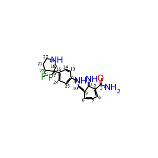 N=C1C(C(N)=O)=CC=C/C1=C/Nc1ccc(C2(F)CNCCC2F)cc1